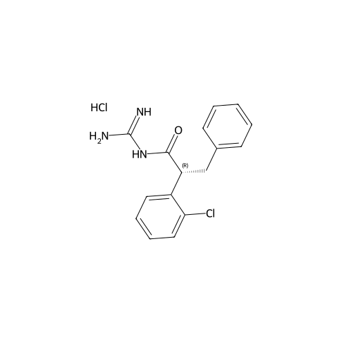 Cl.N=C(N)NC(=O)[C@H](Cc1ccccc1)c1ccccc1Cl